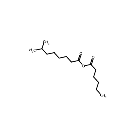 CCCCCC(=O)OC(=O)CCCCCC(C)C